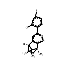 CC1(C)[C@H]2CC[C@]1(C)c1nnc(-c3ccc(F)cc3Cl)cc12